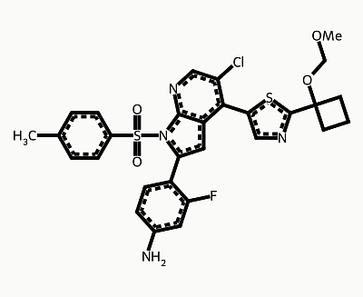 COCOC1(c2ncc(-c3c(Cl)cnc4c3cc(-c3ccc(N)cc3F)n4S(=O)(=O)c3ccc(C)cc3)s2)CCC1